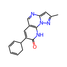 Cc1cc2ncc3cc(C4C=CC=CC4)c(=O)[nH]c3n2n1